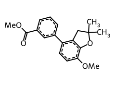 COC(=O)c1cccc(-c2ccc(OC)c3c2CC(C)(C)O3)c1